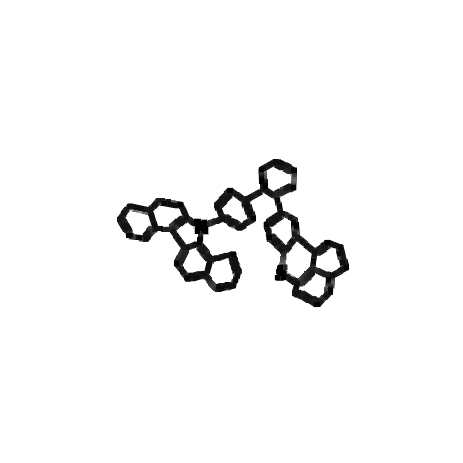 c1ccc(-c2ccc3c(c2)-c2cccc4cccc(c24)S3)c(-c2ccc(-n3c4ccc5ccccc5c4c4ccc5ccccc5c43)cc2)c1